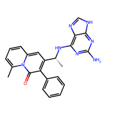 Cc1cccc2cc([C@@H](C)Nc3nc(N)nc4[nH]cnc34)c(-c3ccccc3)c(=O)n12